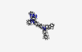 CC1(C)c2ccccc2-c2ccc(N(c3ccc(-c4ccccc4)cc3)c3ccc(-c4ccc5c(c4)c4cc6nc7ccccn7c6cc4n5-c4ccccc4)cc3)cc21